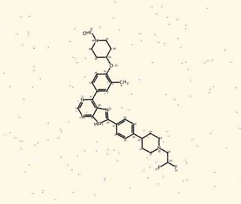 Cc1cc(-c2ncnc3[nH]c(-c4ccc(C5CCN(CC(F)F)CC5)cc4)nc23)ccc1OC1CCN(C=O)CC1